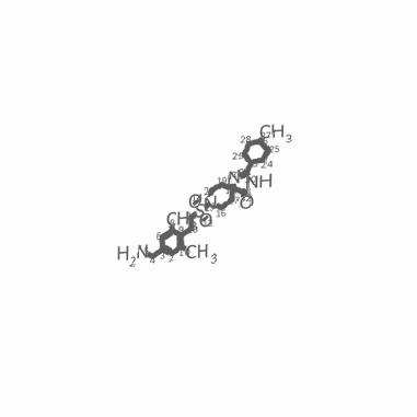 Cc1cc(CN)cc(C)c1CCS(=O)(=O)N1CCC2(CC1)N=C(C1CCC(C)CC1)NC2=O